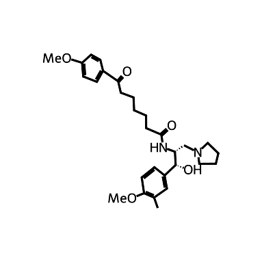 COc1ccc(C(=O)CCCCCC(=O)N[C@H](CN2CCCC2)[C@H](O)c2ccc(OC)c(C)c2)cc1